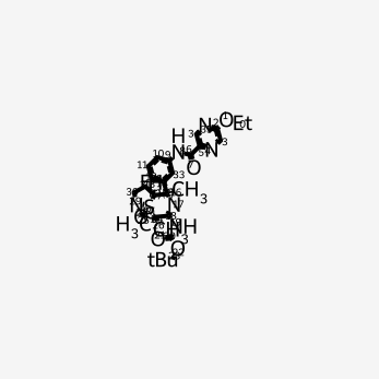 CCOc1cnc(C(=O)Nc2ccc(F)c([C@@]3(C)N=C(NC(=O)OC(C)(C)C)C(C)(C)[S@@]4(=O)=NCC[C@@H]34)c2)cn1